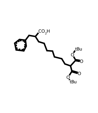 CC(C)(C)OC(=O)C(CCCCCCCC(Cc1ccccc1)C(=O)O)C(=O)OC(C)(C)C